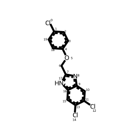 Clc1ccc(OCc2nc3cc(Cl)c(Cl)cc3[nH]2)cc1